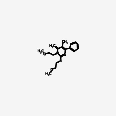 C=C1C(C)=C(c2ccccc2)N=C(SCCOC)N1CCOC